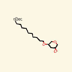 [CH2]CCCCCCCCCCCCCCCCCCCOC1COCC([O])C1